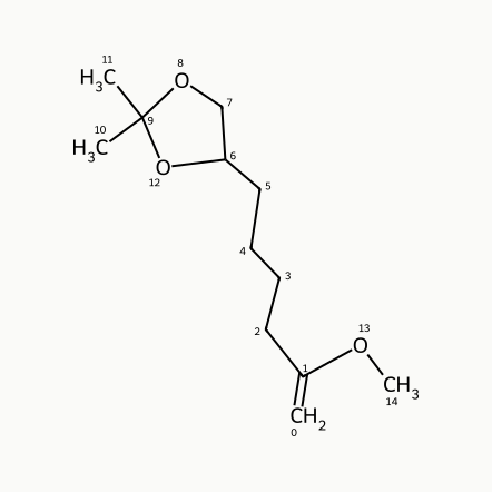 C=C(CCCCC1COC(C)(C)O1)OC